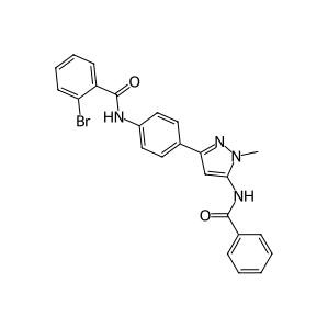 Cn1nc(-c2ccc(NC(=O)c3ccccc3Br)cc2)cc1NC(=O)c1ccccc1